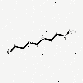 COCCOCCCCBr